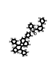 O=c1n(-c2ccc(-c3ccc4c5c(cccc35)-c3c-4c(-c4ccccc4)c4ccccc4c3-c3ccccc3)cc2)c2ccccc2n1-c1cccc(-c2ccccc2)c1